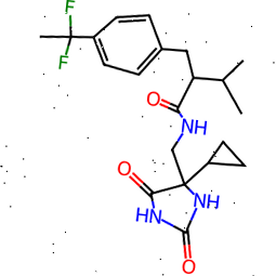 CC(C)C(Cc1ccc(C(C)(F)F)cc1)C(=O)NCC1(C2CC2)NC(=O)NC1=O